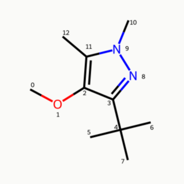 COc1c(C(C)(C)C)nn(C)c1C